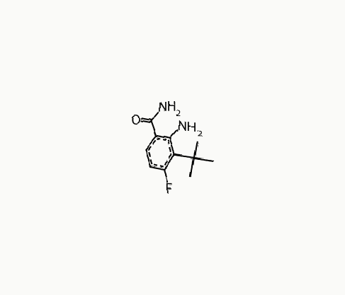 CC(C)(C)c1c(F)ccc(C(N)=O)c1N